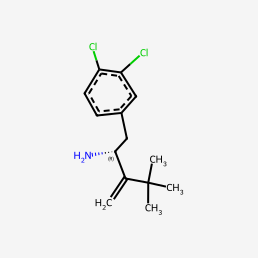 C=C([C@H](N)Cc1ccc(Cl)c(Cl)c1)C(C)(C)C